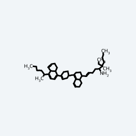 CCCCC(C)C1=CC=C(C2=CCC(C3=C4C=CCCC4C(/C=C/CCC(N)C(C)(CC)CCCC)CC3)CC2)C2CCC=CC12